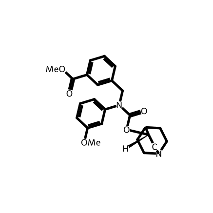 COC(=O)c1cccc(CN(C(=O)O[C@H]2CN3CCC2CC3)c2cccc(OC)c2)c1